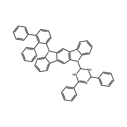 c1ccc(C2=NC(c3ccccc3)NC(n3c4ccccc4c4cc5c(cc43)c3ccccc3n5-c3cccc(-c4ccccc4)c3-c3ccccc3)N2)cc1